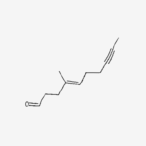 CC#CCC/C=C(\C)CCC=O